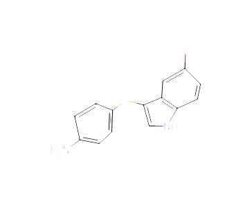 Nc1ccc(Sc2c[nH]c3ccc(Br)cc23)cc1